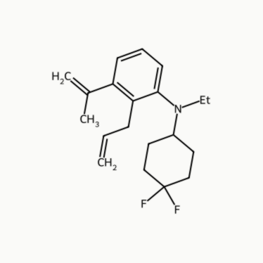 C=CCc1c(C(=C)C)cccc1N(CC)C1CCC(F)(F)CC1